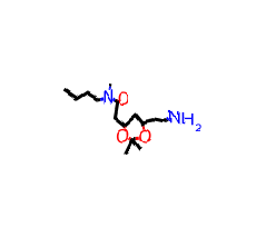 CCCCN(C)C(=O)CC1CC(CCN)OC(C)(C)O1